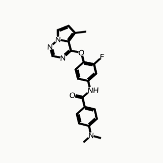 Cc1ccn2ncnc(Oc3ccc(NC(=O)c4ccc(N(C)C)cc4)cc3F)c12